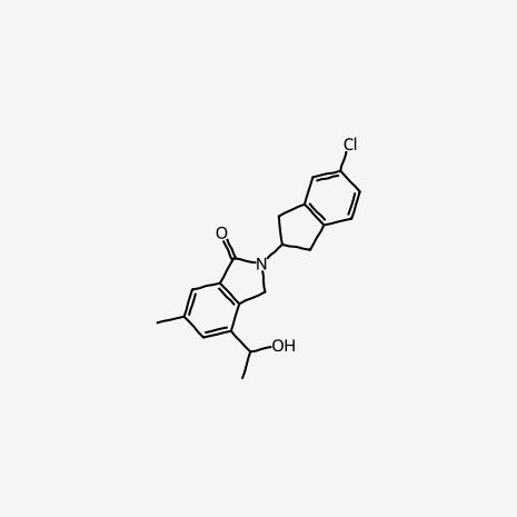 Cc1cc2c(c(C(C)O)c1)CN(C1Cc3ccc(Cl)cc3C1)C2=O